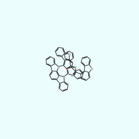 c1ccc(-c2cc(-n3c4ccccc4c4ccc5c6ccccc6n(-c6nc(-c7ccccc7)nc(-c7cccc8sc9ccccc9c78)n6)c5c43)c3c(c2)oc2ccccc23)cc1